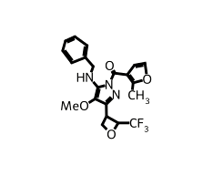 COc1c(C2COC2C(F)(F)F)nn(C(=O)c2ccoc2C)c1NCc1ccccc1